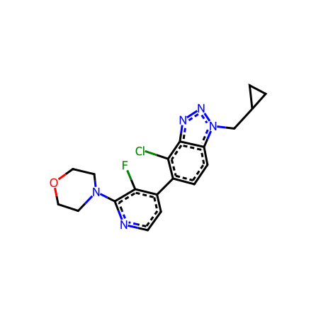 Fc1c(-c2ccc3c(nnn3CC3CC3)c2Cl)ccnc1N1CCOCC1